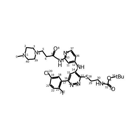 CN1CCN(CCC(=O)Nc2cc(Nc3cc(-c4cc(Cl)ccc4F)nnc3SCCNC(=O)OC(C)(C)C)ccn2)CC1